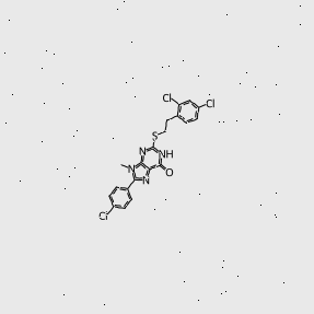 Cn1c(-c2ccc(Cl)cc2)nc2c(=O)[nH]c(SCCc3ccc(Cl)cc3Cl)nc21